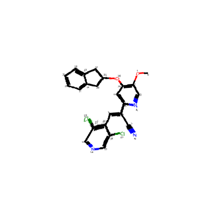 COc1cnc(C(C#N)=Cc2c(Cl)cncc2Cl)cc1OC1Cc2ccccc2C1